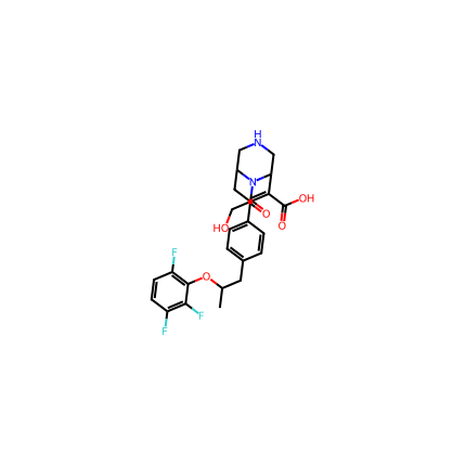 CC(Cc1ccc(C2=C(C(=O)O)C3CNCC(C2)N3C(=O)CO)cc1)Oc1c(F)ccc(F)c1F